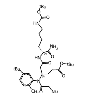 Cc1ccc(C(C)(C)C)cc1N(C(=O)CN)[C@@H](CCC(=O)OC(C)(C)C)CC(=O)N[C@H](CCCCNC(=O)OC(C)(C)C)C(N)=O